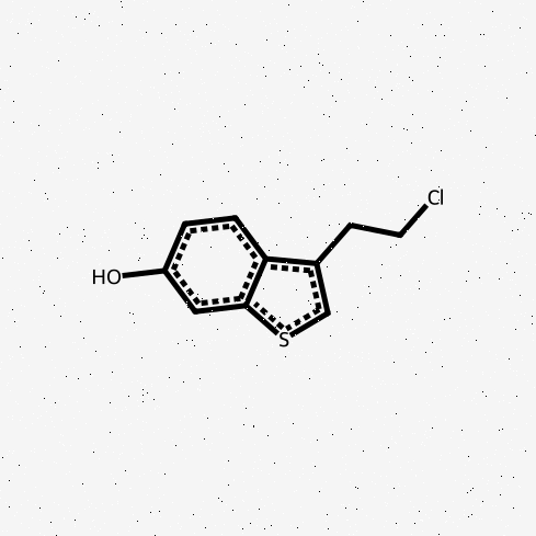 Oc1ccc2c(CCCl)csc2c1